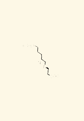 CCCCCCCCCCCCN=CCC(=O)[O-].[Na+]